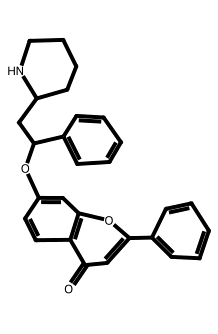 O=c1cc(-c2ccccc2)oc2cc(OC(CC3CCCCN3)c3ccccc3)ccc12